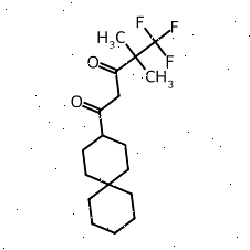 CC(C)(C(=O)CC(=O)C1CCC2(CCCCC2)CC1)C(F)(F)F